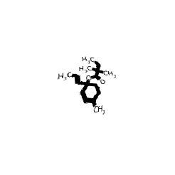 C/C=C/C1(OC(=O)C(C)(C)CC)CCC(C)CC1